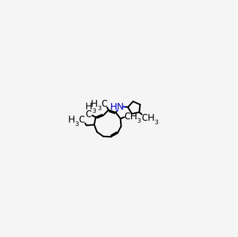 CCC1CC/C=C\CC(C)/C(NC2CCC(C)C2)=C(C)\C=C\1C